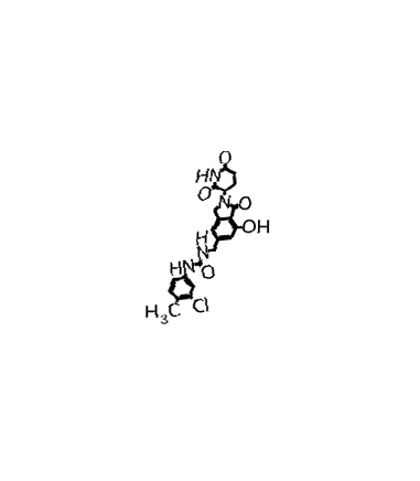 Cc1ccc(NC(=O)NCc2cc(O)c3c(c2)CN(C2CCC(=O)NC2=O)C3=O)cc1Cl